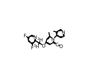 [2H]C([2H])(OC1=CC(=C=O)N(c2ccncc2C)C(C)=C1)c1ncc(F)cc1F